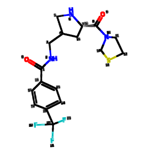 O=C(NCC1CN[C@H](C(=O)N2CCSC2)C1)c1ccc(C(F)(F)F)cc1